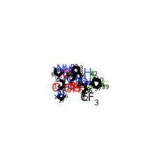 O=C(NC(C[C@@H]1CCNC1=O)C(O)C(=O)N1CCC1)C1[C@H]2CCCC2CN1C(=O)C(CCC(F)(F)F)Nc1c(F)cc(F)cc1F